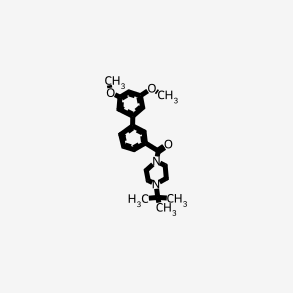 COc1cc(OC)cc(-c2cccc(C(=O)N3CCN(C(C)(C)C)CC3)c2)c1